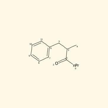 [CH2]CCC(=O)C(C)Cc1ccccc1